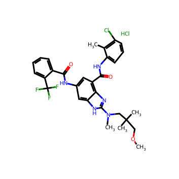 COCC(C)(C)CN(C)c1nc2c(C(=O)Nc3cccc(Cl)c3C)cc(NC(=O)c3ccccc3C(F)(F)F)cc2[nH]1.Cl